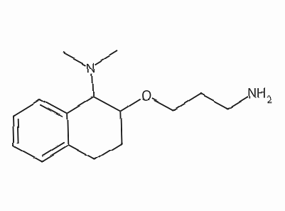 CN(C)C1c2ccccc2CCC1OCCCN